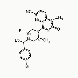 CCC(c1ccc(Br)cc1)N1C[C@H](C)N(c2nc(=O)n(C)c3ccc(C#N)nc23)C[C@H]1CC